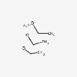 CC[O-].CC[O-].CC[O-].[Ac+3]